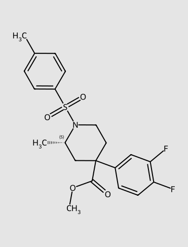 COC(=O)C1(c2ccc(F)c(F)c2)CCN(S(=O)(=O)c2ccc(C)cc2)[C@@H](C)C1